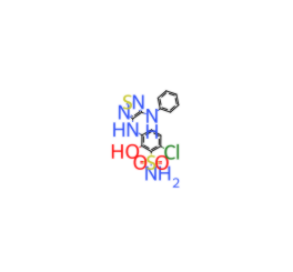 NS(=O)(=O)c1c(Cl)ccc(Nc2nsnc2Nc2ccccc2)c1O